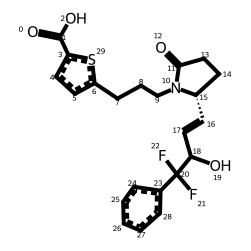 O=C(O)c1ccc(CCCN2C(=O)CC[C@@H]2/C=C/C(O)C(F)(F)c2ccccc2)s1